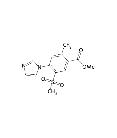 COC(=O)c1cc(S(C)(=O)=O)c(-n2ccnc2)cc1C(F)(F)F